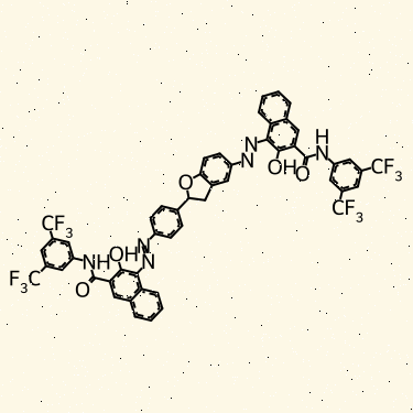 O=C(Nc1cc(C(F)(F)F)cc(C(F)(F)F)c1)c1cc2ccccc2c(/N=N/c2ccc(C3Cc4cc(/N=N/c5c(O)c(C(=O)Nc6cc(C(F)(F)F)cc(C(F)(F)F)c6)cc6ccccc56)ccc4O3)cc2)c1O